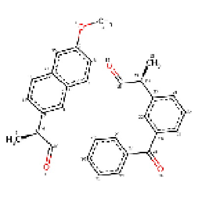 COc1ccc2cc([C@H](C)C=O)ccc2c1.C[C@H](C=O)c1cccc(C(=O)c2ccccc2)c1